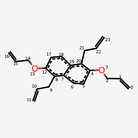 C=CCOc1ccc2c(CC=C)c(OCC=C)ccc2c1CC=C